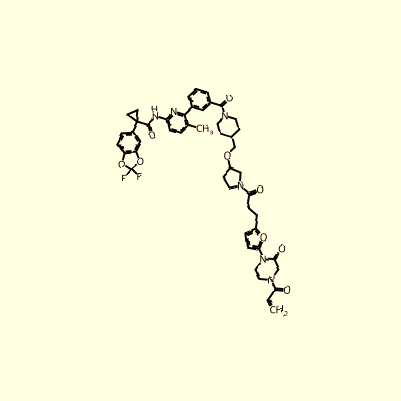 C=CC(=O)N1CCN(c2ccc(CCC(=O)N3CCC(OCC4CCN(C(=O)c5cccc(-c6nc(NC(=O)C7(c8ccc9c(c8)OC(F)(F)O9)CC7)ccc6C)c5)CC4)C3)o2)C(=O)C1